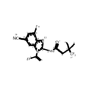 C=C(CC)n1c(NC(=O)CC(C)(C)C(F)(F)F)nc2c(F)cc(C#N)cc21